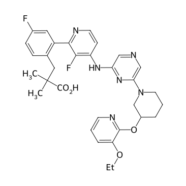 CCOc1cccnc1OC1CCCN(c2cncc(Nc3ccnc(-c4cc(F)ccc4CC(C)(C)C(=O)O)c3F)n2)C1